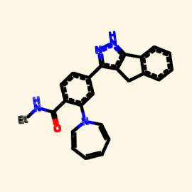 CCNC(=O)c1ccc(-c2n[nH]c3c2Cc2ccccc2-3)cc1N1C=CC=CC=C1